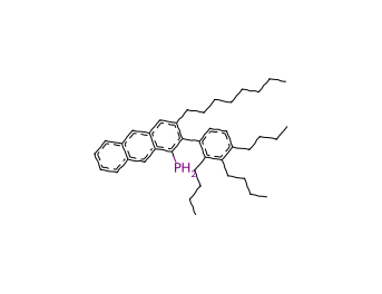 CCCCCCCCc1cc2cc3ccccc3cc2c(P)c1-c1ccc(CCCC)c(CCCC)c1CCCC